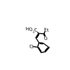 CCC(=O)C(=Cc1ccccc1Cl)C(=O)O